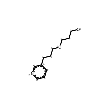 [O]CCCOCCCc1cccnc1